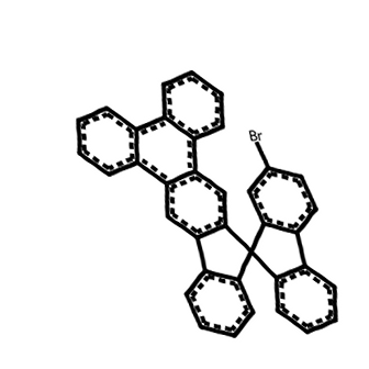 Brc1ccc2c(c1)C1(c3ccccc3-2)c2ccccc2-c2cc3c4ccccc4c4ccccc4c3cc21